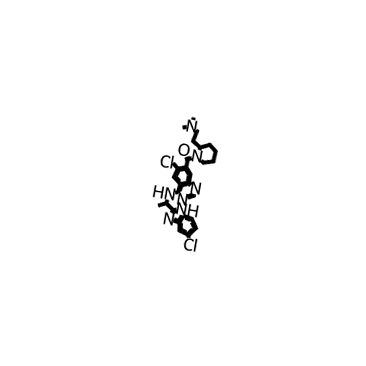 CC(Nc1ncnc2cc(C(=O)N3CCCCC3CCN(C)C)c(Cl)cc12)c1nc2cc(Cl)ccc2[nH]1